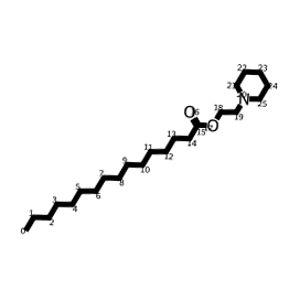 CCCCCCCCCCCCCCCC(=O)OCCN1CCCCC1